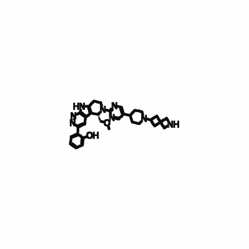 COC[C@@H]1c2c([nH]c3nnc(-c4ccccc4O)cc23)CCN1c1ncc(C2CCN(C3CC4(CNC4)C3)CC2)cn1